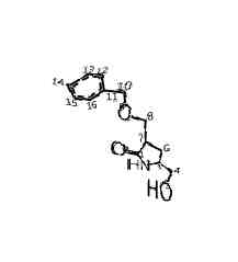 O=C1N[C@H](CO)CC1COCc1ccccc1